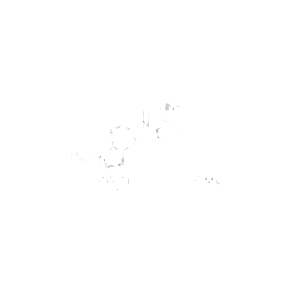 CCOC(=O)c1cc2cc(NC(=O)[C@H]3NCCC3C3CCC(OC)CC3)ccc2n1C